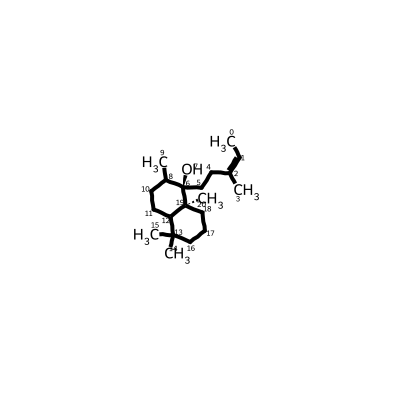 C/C=C(/C)CC[C@@]1(O)C(C)CCC2C(C)(C)CCC[C@@]21C